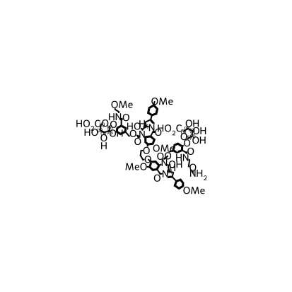 COCCNC(=O)c1cc(COC(=O)N2c3cc(OCCCOc4cc5c(cc4OC)C(=O)N4C=C(c6ccc(OC)cc6)C[C@H]4C(O)N5C(=O)OCc4ccc(O[C@@H]5O[C@H](C(=O)O)[C@@H](O)[C@H](O)[C@H]5O)c(C(=O)NCCON)c4)c(OC)cc3C(=O)N3C=C(c4ccc(OC)cc4)C[C@H]3C2O)ccc1O[C@@H]1O[C@H](C(=O)O)[C@@H](O)[C@H](O)[C@H]1O